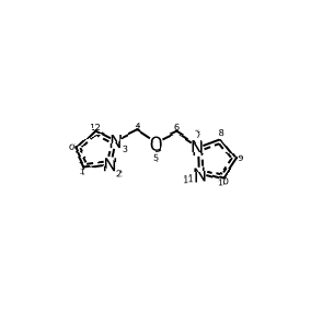 c1cnn(COCn2cccn2)c1